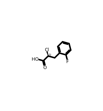 O=C(O)[C@@H](Cl)Cc1ccccc1F